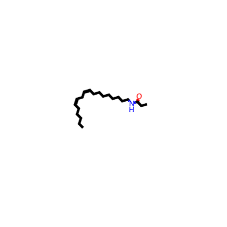 CCCCC/C=C\C/C=C\CCCCCCCCNC(=O)CC